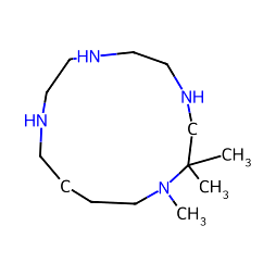 CN1CCCCNCCNCCNCC1(C)C